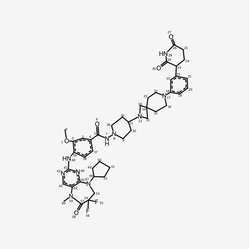 COc1cc(C(=O)NN2CCC(N3CC4(CCN(c5cccc(C6CCC(=O)NC6=O)c5)CC4)C3)CC2)ccc1Nc1ncc2c(n1)N(C1CCCC1)CC(F)(F)C(=O)N2C